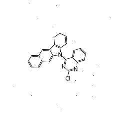 Clc1nc(-n2c3c(c4cc5ccccc5cc42)CCC=C3)c2ccccc2n1